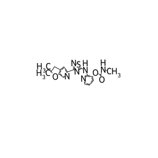 CNC(=O)Oc1cccnc1Nc1nc(-c2cc3c(cn2)OC(C)(C)C3)ns1